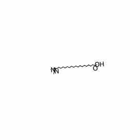 Cc1nc(CCCCCCCCCCCCCCCCCC(=O)O)cn1C